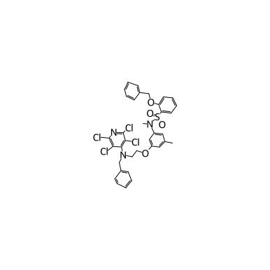 Cc1cc(OCCN(Cc2ccccc2)c2c(Cl)c(Cl)nc(Cl)c2Cl)cc(N(C)S(=O)(=O)c2ccccc2OCc2ccccc2)c1